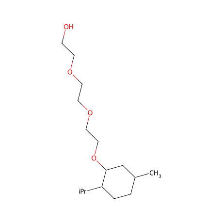 CC1CCC(C(C)C)C(OCCOCCOCCO)C1